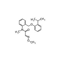 CON=CC(=O)N(C)c1ccccc1COc1ccccc1C(C)C